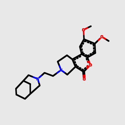 COc1cc2oc(=O)c3c(c2cc1OC)CCN(CCN1CC2CCCC(C2)C1)C3